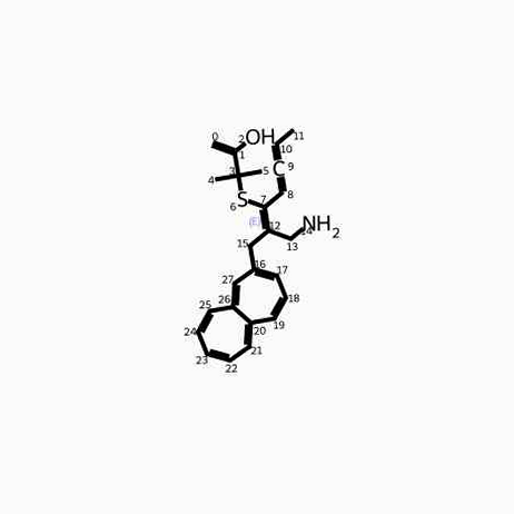 C=C(O)C(C)(C)S/C(C=C=CC)=C(/CN)CC1=CC=CC2=CC=CC=CC2=C1